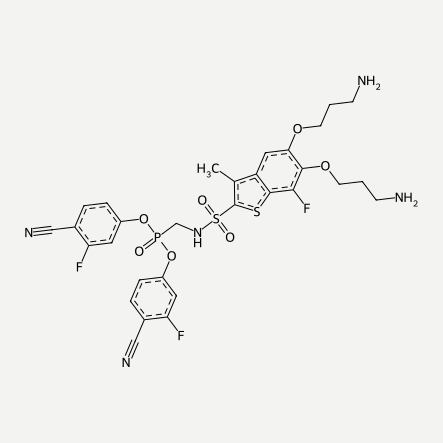 Cc1c(S(=O)(=O)NCP(=O)(Oc2ccc(C#N)c(F)c2)Oc2ccc(C#N)c(F)c2)sc2c(F)c(OCCCN)c(OCCCN)cc12